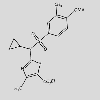 CCOC(=O)c1sc(N(C2CC2)S(=O)(=O)c2ccc(OC)c(C)c2)nc1C